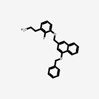 [CH2]CCc1cccc(OCc2cc(OCc3ccccc3)c3ccccc3c2)c1F